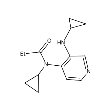 CCC(=O)N(c1ccncc1NC1CC1)C1CC1